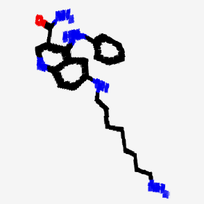 NCCCCCCCCNc1ccc2ncc(C(N)=O)c(Nc3ccccc3)c2c1